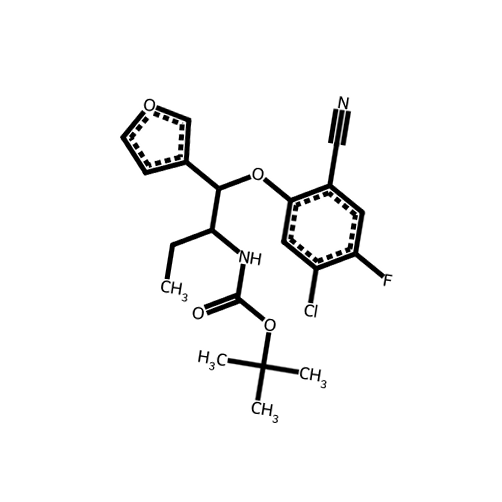 CCC(NC(=O)OC(C)(C)C)C(Oc1cc(Cl)c(F)cc1C#N)c1ccoc1